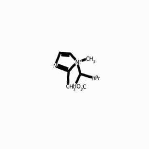 CCCC(C(=O)O)[N+]1(C)C=CN=C1C